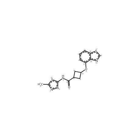 Cc1nnc(NC(=O)C2CC(Oc3cccc4scnc34)C2)s1